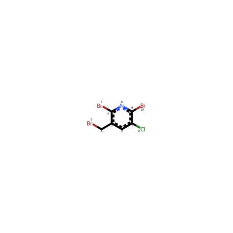 Clc1cc(CBr)c(Br)nc1Br